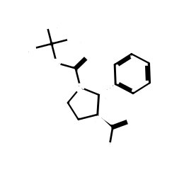 CC(C)(C)OC(=O)N1CC[C@H](C(=O)O)[C@H]1c1ccccc1